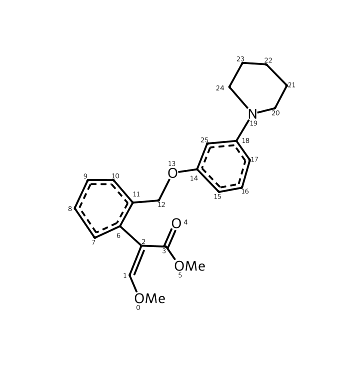 COC=C(C(=O)OC)c1ccccc1COc1cccc(N2CCCCC2)c1